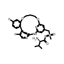 CC(C)[C@@H](N)C(=O)N=S(C)(=O)Cc1cc2nc(c1)OCCCOc1cc(F)ccc1-c1cc(ncc1F)N2